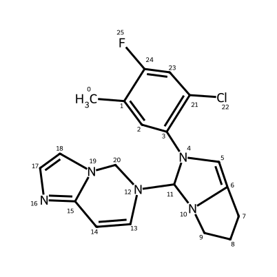 Cc1cc(N2C=C3CCCN3C2N2C=Cc3nccn3C2)c(Cl)cc1F